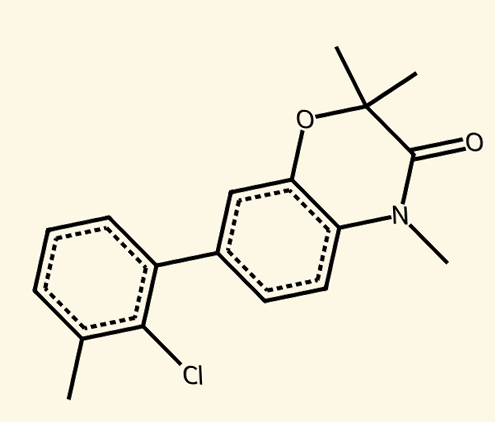 Cc1cccc(-c2ccc3c(c2)OC(C)(C)C(=O)N3C)c1Cl